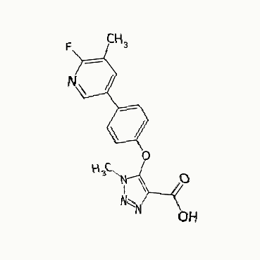 Cc1cc(-c2ccc(Oc3c(C(=O)O)nnn3C)cc2)cnc1F